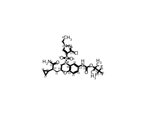 CCn1cc(S(=O)(=O)N2C[C@H](C[C@H](C(N)=O)C3CC3)Oc3ccc(NC(=O)OC(C)(C)C(F)(F)F)cc32)c(Cl)n1